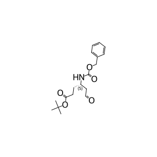 CC(C)(C)OC(=O)CC[C@@H](CC=O)NC(=O)OCc1ccccc1